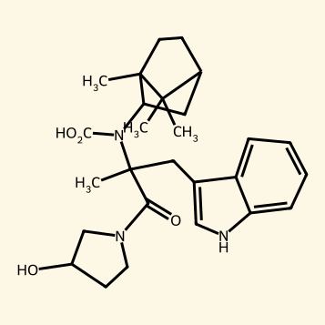 CC(Cc1c[nH]c2ccccc12)(C(=O)N1CCC(O)C1)N(C(=O)O)C1CC2CCC1(C)C2(C)C